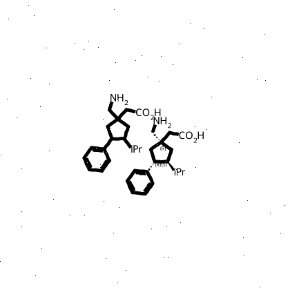 CC(C)C1CC(CN)(CC(=O)O)CC1c1ccccc1.CC(C)[C@@H]1C[C@](CN)(CC(=O)O)C[C@H]1c1ccccc1